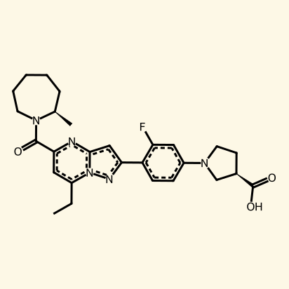 CCc1cc(C(=O)N2CCCCC[C@H]2C)nc2cc(-c3ccc(N4CC[C@@H](C(=O)O)C4)cc3F)nn12